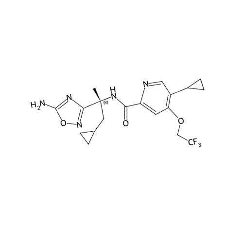 C[C@](CC1CC1)(NC(=O)c1cc(OCC(F)(F)F)c(C2CC2)cn1)c1noc(N)n1